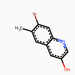 Cc1cc2cc(O)cnc2cc1Br